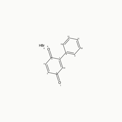 Br.O=C1C=CC(=O)C(c2ccccc2)=C1